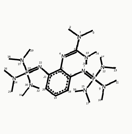 CN(C)C(=Nc1c(N=P(N(C)C)(N(C)C)N(C)C)cccc1N=P(N(C)C)(N(C)C)N(C)C)N(C)C